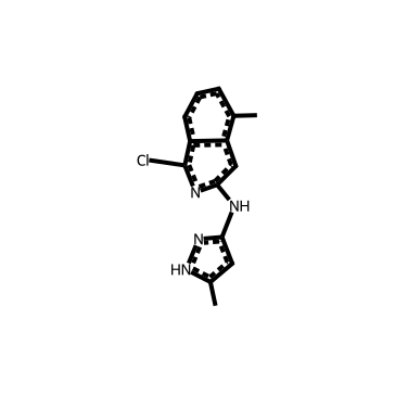 Cc1cc(Nc2cc3c(C)cccc3c(Cl)n2)n[nH]1